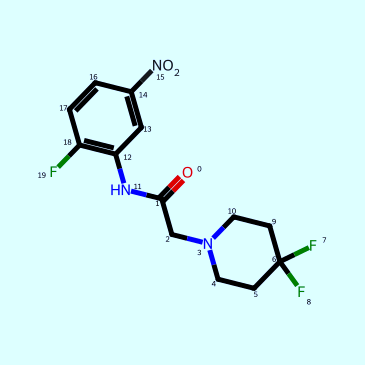 O=C(CN1CCC(F)(F)CC1)Nc1cc([N+](=O)[O-])ccc1F